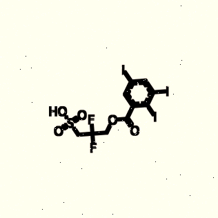 O=C(OCC(F)(F)CS(=O)(=O)O)c1cc(I)cc(I)c1I